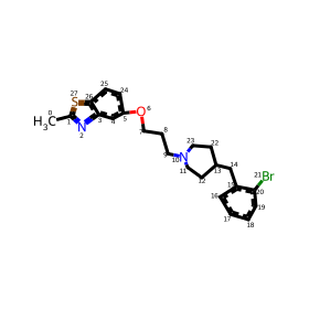 Cc1nc2cc(OCCCN3CCC(Cc4ccccc4Br)CC3)ccc2s1